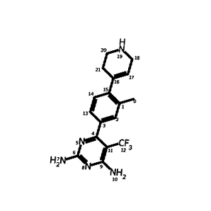 Cc1cc(-c2nc(N)nc(N)c2C(F)(F)F)ccc1C1=CCNCC1